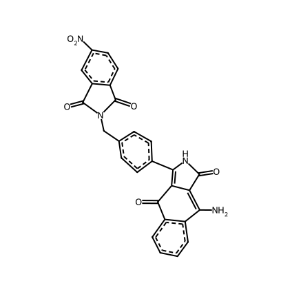 NC1=C2C(=O)NC(c3ccc(CN4C(=O)c5ccc([N+](=O)[O-])cc5C4=O)cc3)=C2C(=O)c2ccccc21